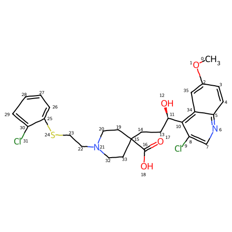 COc1ccc2ncc(Cl)c([C@H](O)CCC3(C(=O)O)CCN(CCSc4ccccc4Cl)CC3)c2c1